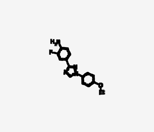 CCOc1ccc(-n2cnc(-c3ccc(N)c(F)c3)n2)cc1